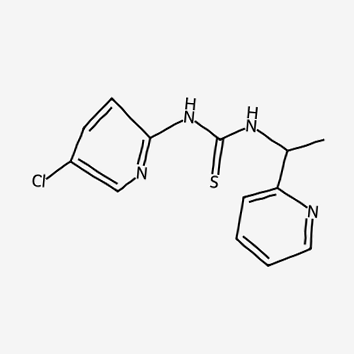 CC(NC(=S)Nc1ccc(Cl)cn1)c1ccccn1